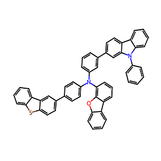 c1ccc(-n2c3ccccc3c3ccc(-c4cccc(N(c5ccc(-c6ccc7sc8ccccc8c7c6)cc5)c5cccc6c5oc5ccccc56)c4)cc32)cc1